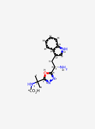 CC(C)(NC(=O)O)c1nnc([C@@H](N)Cc2c[nH]c3ccccc23)o1